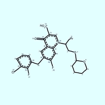 CC(C)C(COC1CCCCO1)n1cc(C(=O)O)c(=O)c2cc(Cc3cccc(Cl)c3F)c(F)cc21